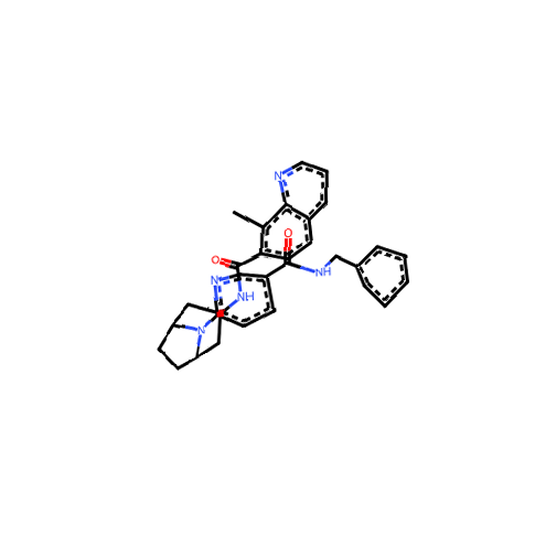 Cc1c(C(=O)NC2CC3CCC(C2)N3c2ccc(C(=O)NCc3ccccc3)cn2)ccc2cccnc12